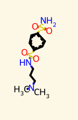 CN(C)CCCNS(=O)(=O)c1ccc(S(N)(=O)=O)cc1